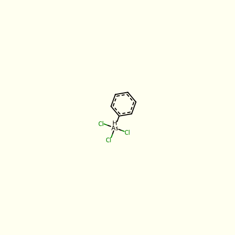 Cl[AsH](Cl)(Cl)c1ccccc1